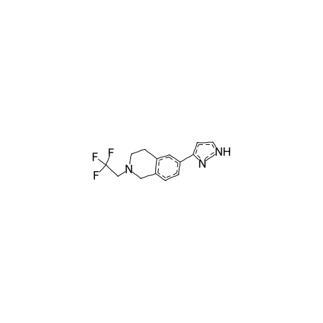 FC(F)(F)CN1CCc2cc(-c3cc[nH]n3)ccc2C1